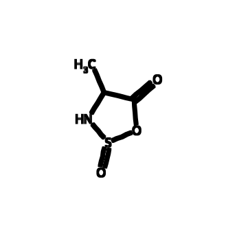 CC1NS(=O)OC1=O